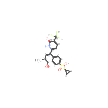 C[C@@H](/C=C(\c1ccc(S(=O)(=O)C2CC2)cc1)c1ccc(C(F)(F)F)c(=O)[nH]1)CO